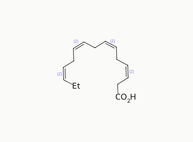 CC/C=C\C/C=C\C/C=C\C/C=C\CC(=O)O